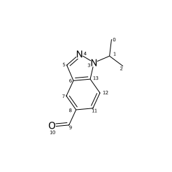 CC(C)n1ncc2cc(C=O)ccc21